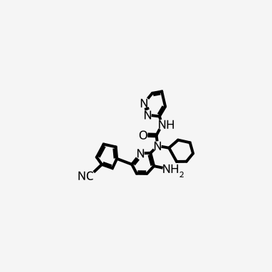 N#Cc1cccc(-c2ccc(N)c(N(C(=O)Nc3cccnn3)C3CCCCC3)n2)c1